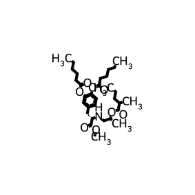 CCCCCC(=O)Oc1ccc(C[C@H](NCC(C)OC(=O)C(C)CCC)C(=O)OC)cc1OC(=O)CCCCC